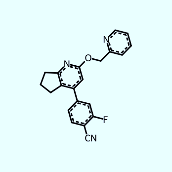 N#Cc1ccc(-c2cc(OCc3ccccn3)nc3c2CCC3)cc1F